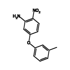 Cc1cccc(Oc2ccc([N+](=O)[O-])c(N)c2)c1